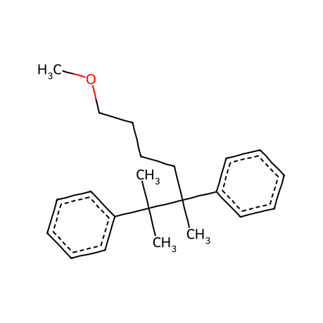 COCCCCC(C)(c1ccccc1)C(C)(C)c1ccccc1